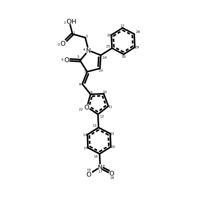 O=C(O)CN1C(=O)C(=Cc2ccc(-c3ccc([N+](=O)[O-])cc3)o2)C=C1c1ccccc1